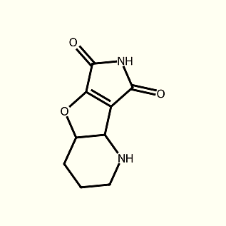 O=C1NC(=O)C2=C1OC1CCCNC21